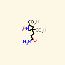 NC(=O)CCC1(C(=O)O)CC(C(=O)O)N(P)C1